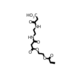 C=CC(=O)OCCOC(=O)CC(=O)NCCNC(=O)CC(=O)O